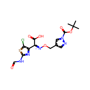 CC(C)(C)OC(=O)n1cc(CO/N=C(\C(=O)O)c2nc(NC=O)sc2Cl)cn1